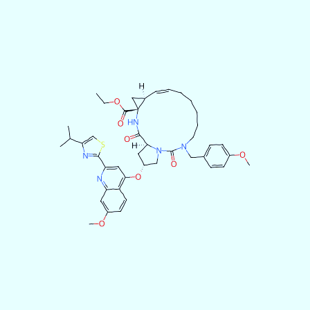 CCOC(=O)[C@@]12C[C@H]1/C=C\CCCCCN(Cc1ccc(OC)cc1)C(=O)N1C[C@H](Oc3cc(-c4nc(C(C)C)cs4)nc4cc(OC)ccc34)C[C@H]1C(=O)N2